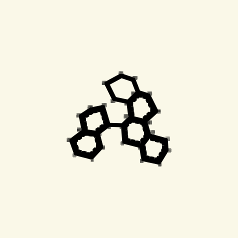 c1ccc2c(-c3cc4ccccc4c4ccc5c(c34)CCCC5)cccc2c1